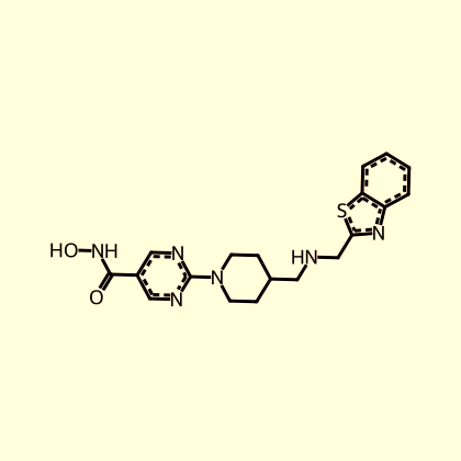 O=C(NO)c1cnc(N2CCC(CNCc3nc4ccccc4s3)CC2)nc1